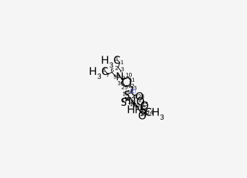 CCCCN(CCCC)c1ccc(/C=C2\SC(=S)N(CC(=O)NS(C)(=O)=O)C2=O)cc1